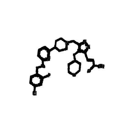 O=C(O)/C=C/c1nnc(CN2CCC(c3cccc(OCc4ccc(Cl)cc4F)n3)CC2)n1CC1CCOCC1